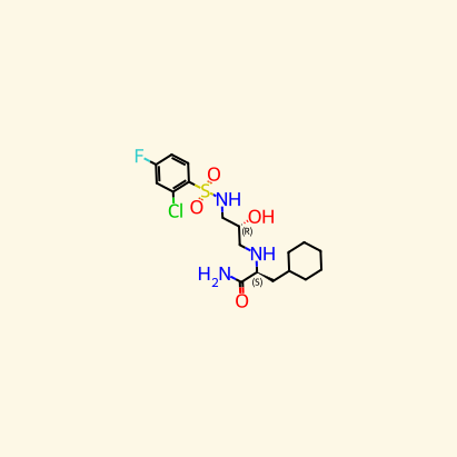 NC(=O)[C@H](CC1CCCCC1)NC[C@@H](O)CNS(=O)(=O)c1ccc(F)cc1Cl